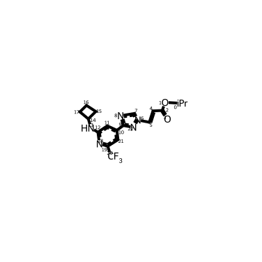 CC(C)OC(=O)/C=C/n1cnc(-c2cc(NC3CCC3)nc(C(F)(F)F)c2)n1